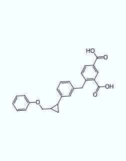 O=C(O)c1ccc(Cc2cccc(C3CC3COc3ccccc3)c2)c(C(=O)O)c1